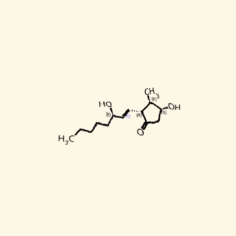 CCCCC[C@@H](O)/C=C/[C@H]1C(=O)C[C@H](O)[C@@H]1C